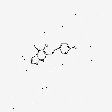 O=c1c(Cl)c(/C=C/c2ccc(Cl)cc2)nc2sccn12